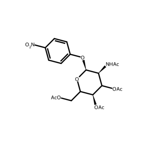 CC(=O)N[C@H]1C(OC(C)=O)[C@@H](OC(C)=O)C(COC(C)=O)O[C@H]1Oc1ccc([N+](=O)[O-])cc1